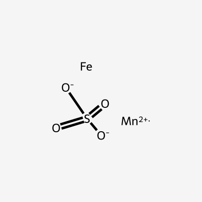 O=S(=O)([O-])[O-].[Fe].[Mn+2]